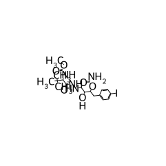 COC(=O)NC(C(=O)NNCC(O)C(Cc1ccc(I)cc1)OC(N)=O)C(C)(C)C